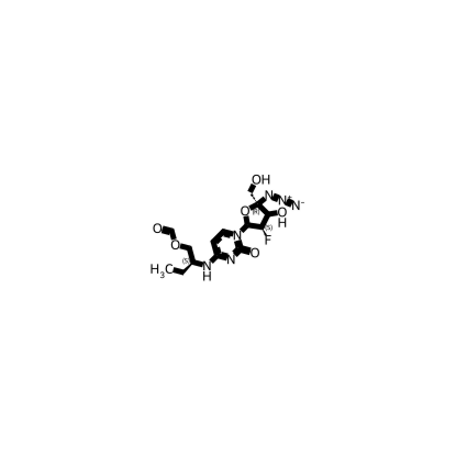 CC[C@@H](COC=O)Nc1ccn(C2O[C@@](CO)(N=[N+]=[N-])C(O)[C@@H]2F)c(=O)n1